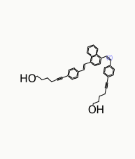 OCCCCC#Cc1ccc(C=Cc2ccc(/C=C\c3ccc(C#CCCCCO)cc3)c3ccccc23)cc1